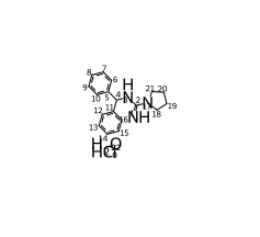 Cl.N=C(NC(c1ccccc1)c1ccccc1)N1CCCC1.O